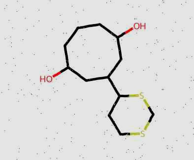 OC1CCCC(O)CC(C2CCSCS2)C1